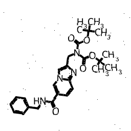 CC(C)(C)OC(=O)N(Cc1cn2cc(C(=O)NCc3ccccc3)ccc2n1)C(=O)OC(C)(C)C